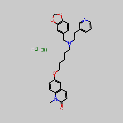 Cl.Cl.Cn1c(=O)ccc2cc(OCCCCCN(CCc3cccnc3)Cc3ccc4c(c3)OCO4)ccc21